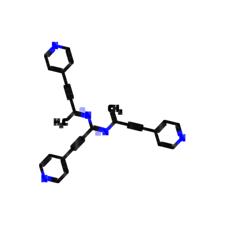 C=C(C#Cc1ccncc1)/N=C(C#Cc1ccncc1)\N=C(/C)C#Cc1ccncc1